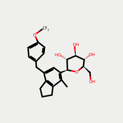 Cc1c([C@@H]2O[C@H](CO)[C@@H](O)[C@H](O)[C@H]2O)cc(Cc2ccc(OC(F)(F)F)cc2)c2c1CCC2